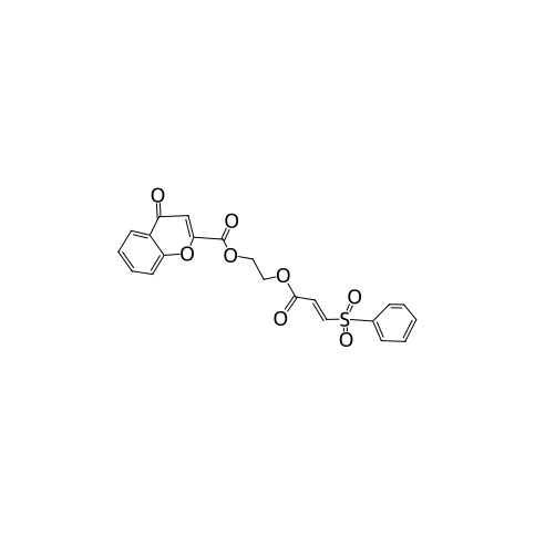 O=C(/C=C/S(=O)(=O)c1ccccc1)OCCOC(=O)c1cc(=O)c2ccccc2o1